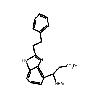 CCOC(=O)CC(NC(C)=O)c1cccc2[nH]c(CCc3ccccc3)nc12